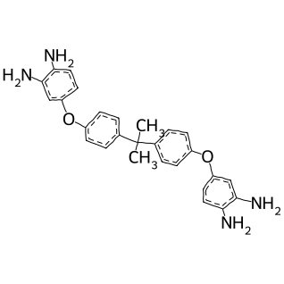 CC(C)(c1ccc(Oc2ccc(N)c(N)c2)cc1)c1ccc(Oc2ccc(N)c(N)c2)cc1